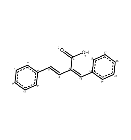 O=C(O)C(C=Cc1ccccc1)=Cc1ccccc1